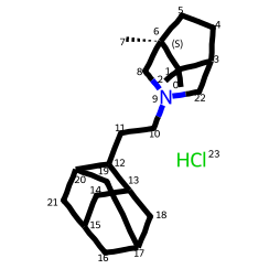 CC1(C)C2CC[C@]1(C)CN(CCC1C3CC4CC(C3)CC1C4)C2.Cl